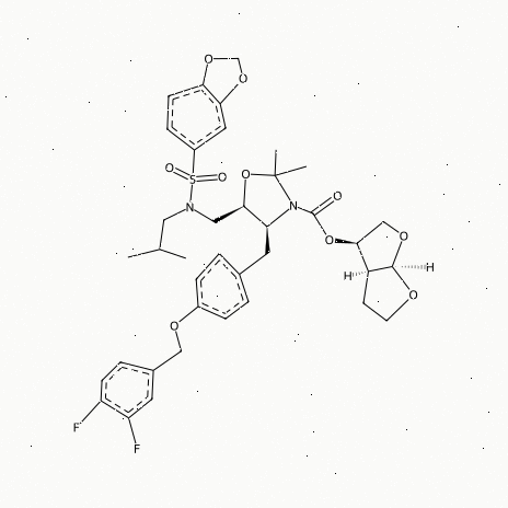 CC(C)CN(C[C@H]1OC(C)(C)N(C(=O)O[C@H]2CO[C@H]3OCC[C@H]32)[C@H]1Cc1ccc(OCc2ccc(F)c(F)c2)cc1)S(=O)(=O)c1ccc2c(c1)OCO2